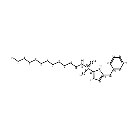 CCCCCCCCCCCCNS(=O)(=O)c1ccc(Cc2ccccc2)s1